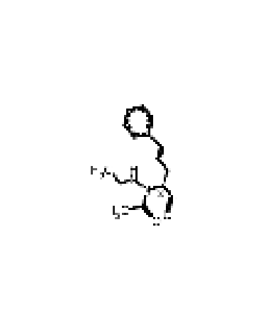 CCNN(C(C)=O)[C@H]([C]=O)CC=Cc1ccccc1